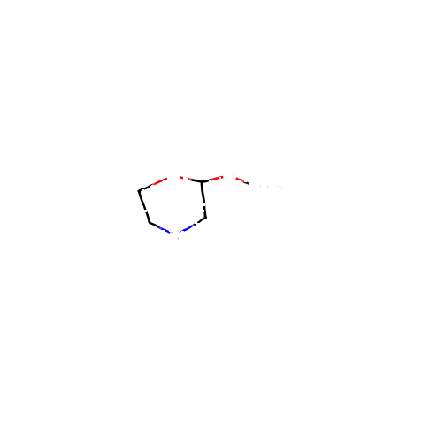 O=C(O)OC1CNCCO1